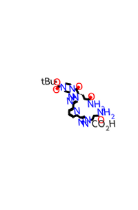 CC(C)(C)OC(=O)N1CCN(C(=O)[C@H](CCC(N)=O)n2cc(-c3cccc(-c4cn([C@@H](CC(N)=O)C(=O)O)nn4)n3)nn2)CC1